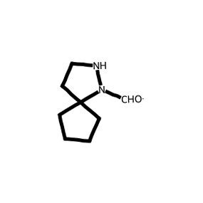 O=[C]N1NCCC12CCCC2